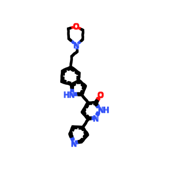 O=c1[nH]nc(-c2ccncc2)cc1-c1cc2cc(CCN3CCOCC3)ccc2[nH]1